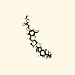 CCOC(=O)COc1cc(C)cc(CN2CCN(c3nc4ccc(C(F)(F)F)cc4s3)[C@@H](C)C2)c1